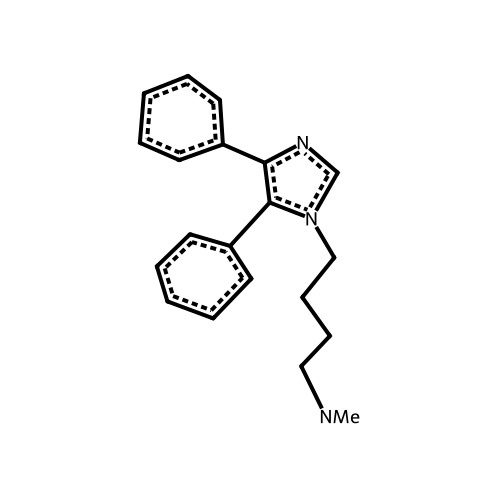 CNCCCCn1cnc(-c2ccccc2)c1-c1ccccc1